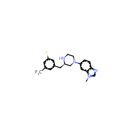 Cn1cnc2ccc(N3CCN[C@H](Cc4cc(F)cc(C(F)(F)F)c4)C3)cc21